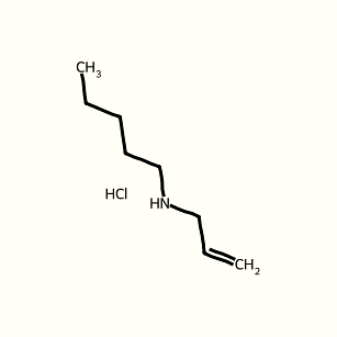 C=CCNCCCCC.Cl